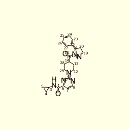 O=C(NC1CC1)c1ccnc(N2CCC(C(=O)N3N=CCC3c3ccccc3)CC2)n1